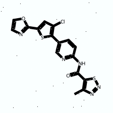 Cc1nnsc1C(=O)Nc1ccc(-c2sc(-c3ncco3)cc2Cl)cn1